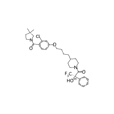 CC1(C)CCN(C(=O)c2ccc(OCCCCC3CCN(C(=O)[C@](O)(c4ccccc4)C(F)(F)F)CC3)cc2Cl)C1